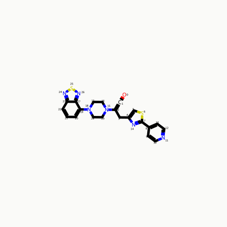 O=C=C(Cc1csc(-c2ccncc2)n1)N1CCN(c2cccc3nsnc23)CC1